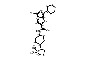 Cc1nn(C2CCCCC2)c2sc(C(=O)NC3CCC(N4CCCS4(O)O)CC3)cc12